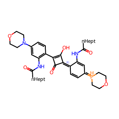 CCCCCCCC(=O)NC1=CC(=[PH]2CCOCC2)C=C/C1=C1\C(=O)C(c2ccc(N3CCOCC3)cc2NC(=O)CCCCCCC)=C1O